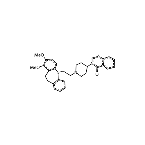 COc1ccc2c(c1OC)CCc1ccccc1N2CCN1CCC(n2cnc3ccccc3c2=O)CC1